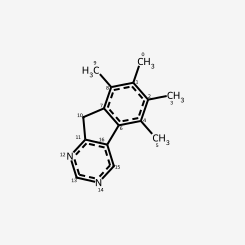 Cc1c(C)c(C)c2c(c1C)Cc1ncncc1-2